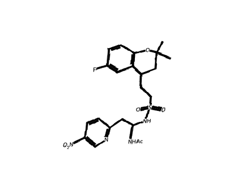 CC(=O)NC(Cc1ccc([N+](=O)[O-])cn1)NS(=O)(=O)CCC1CC(C)(C)Oc2ccc(F)cc21